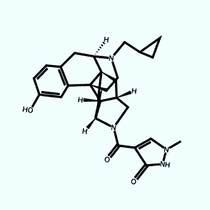 Cn1cc(C(=O)N2C[C@H]3C[C@@]45CC[C@@H]2[C@@H]3[C@@]42CCN(CC3CC3)[C@@H]5Cc3ccc(O)cc32)c(=O)[nH]1